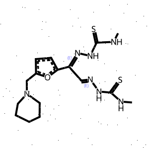 CNC(=S)N/N=C/C(=N\NC(=S)NC)c1ccc(CN2CCCCC2)o1